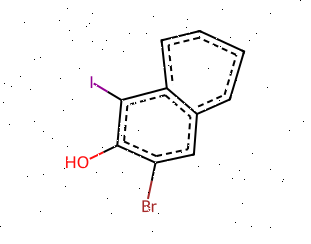 Oc1c(Br)cc2ccccc2c1I